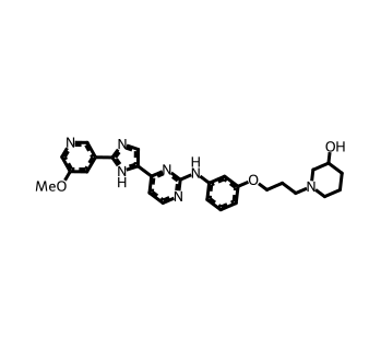 COc1cncc(-c2ncc(-c3ccnc(Nc4cccc(OCCCN5CCCC(O)C5)c4)n3)[nH]2)c1